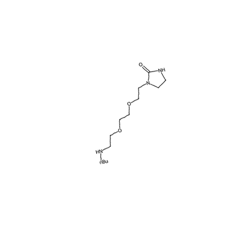 CCCCNCCOCCOCCN1CCNC1=O